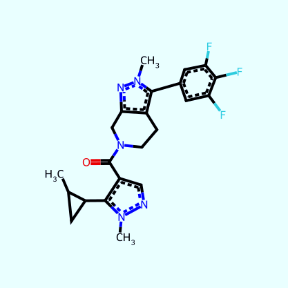 CC1CC1c1c(C(=O)N2CCc3c(nn(C)c3-c3cc(F)c(F)c(F)c3)C2)cnn1C